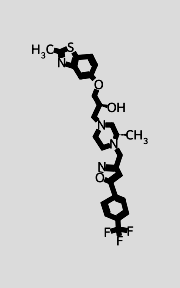 Cc1nc2cc(OC[C@@H](O)CN3CCN(Cc4cc(-c5ccc(C(F)(F)F)cc5)on4)[C@@H](C)C3)ccc2s1